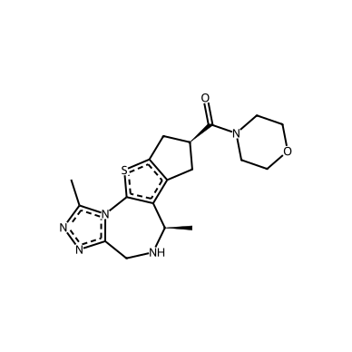 Cc1nnc2n1-c1sc3c(c1[C@@H](C)NC2)C[C@H](C(=O)N1CCOCC1)C3